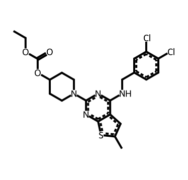 CCOC(=O)OC1CCN(c2nc(NCc3ccc(Cl)c(Cl)c3)c3cc(C)sc3n2)CC1